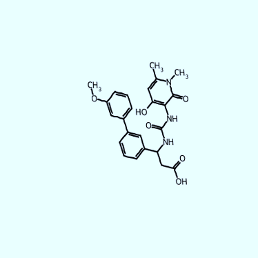 COc1cccc(-c2cccc(C(CC(=O)O)NC(=O)Nc3c(O)cc(C)n(C)c3=O)c2)c1